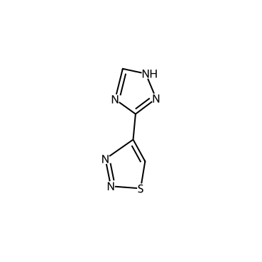 c1nc(-c2csnn2)n[nH]1